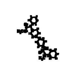 COC(=O)C(c1ccccc1)N1CCN(c2ccc(NC(=O)C(C)c3ccccc3)cc2)CC1